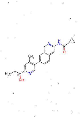 CC[C@H](O)c1cc(C)c(-c2ccc3cc(NC(=O)C4CC4)ncc3c2)cn1